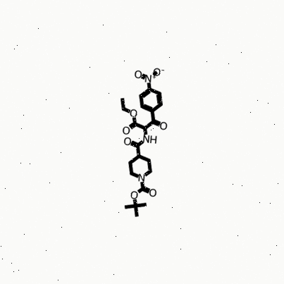 CCOC(=O)C(NC(=O)C1CCN(C(=O)OC(C)(C)C)CC1)C(=O)c1ccc([N+](=O)[O-])cc1